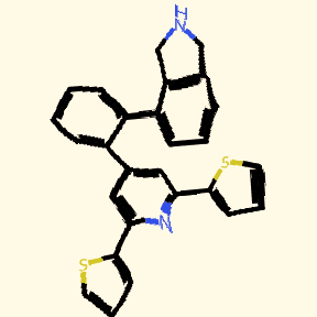 c1csc(-c2cc(-c3ccccc3-c3cccc4c3CNC4)cc(-c3cccs3)n2)c1